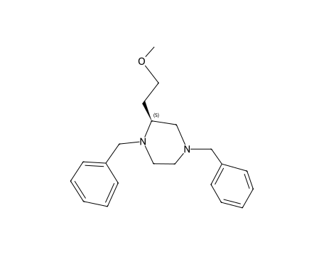 COCC[C@H]1CN(Cc2ccccc2)CCN1Cc1ccccc1